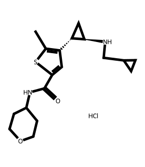 Cc1sc(C(=O)NC2CCOCC2)cc1[C@@H]1C[C@H]1NCC1CC1.Cl